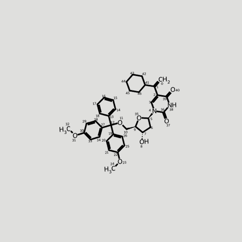 C=C(c1cn([C@H]2C[C@H](O)[C@@H](COC(c3ccccc3)(c3ccc(OC)cc3)c3ccc(OC)cc3)O2)c(=O)[nH]c1=O)C1CCCCC1